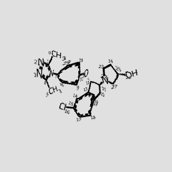 Cc1nnc(C)n1-c1ccc(O[C@H]2c3cc(Cl)ccc3C[C@@H]2N2CC[C@@H](O)C2)cc1